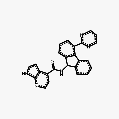 O=C(NC1c2ccccc2-c2c(-c3ncccn3)cccc21)c1ccnc2[nH]ccc12